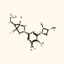 C[C@H]1[C@H](O)CN1c1nc(N2C[C@@H]3C(CC(=O)O)[C@@H]3C2)cc(C(F)(F)F)c1C#N